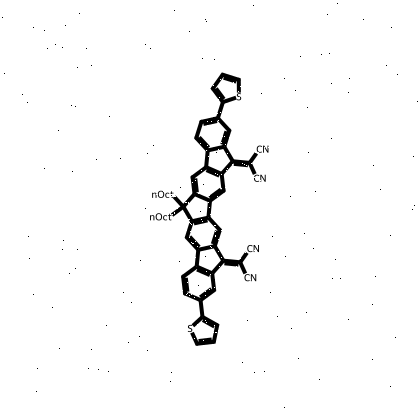 CCCCCCCCC1(CCCCCCCC)c2cc3c(cc2-c2cc4c(cc21)-c1ccc(-c2cccs2)cc1C4=C(C#N)C#N)C(=C(C#N)C#N)c1cc(-c2cccs2)ccc1-3